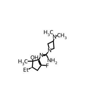 CC[C@@H]1CC(F)=C(/N=C(\N)N2CC(N(C)C)C2)C1(C)O